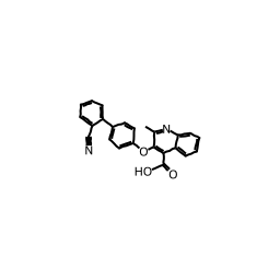 Cc1nc2ccccc2c(C(=O)O)c1Oc1ccc(-c2ccccc2C#N)cc1